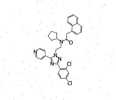 O=C(Cc1cccc2ccccc12)N(CCn1nc(-c2ccc(Cl)cc2Cl)nc1-c1ccncc1)C1CCCC1